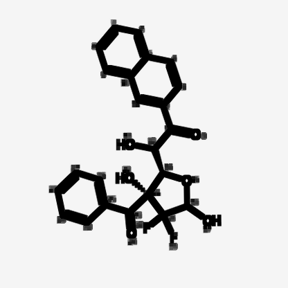 O=C(c1ccc2ccccc2c1)C(O)[C@H]1OC(O)C(F)(F)[C@@]1(O)C(=O)c1ccccc1